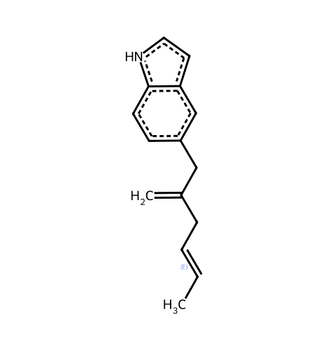 C=C(C/C=C/C)Cc1ccc2[nH]ccc2c1